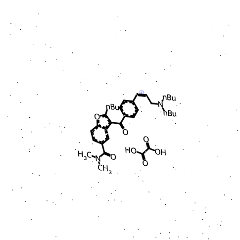 CCCCc1oc2ccc(C(=O)N(C)C)cc2c1C(=O)c1ccc(/C=C\CN(CCCC)CCCC)cc1.O=C(O)C(=O)O